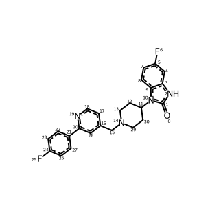 O=c1[nH]c2cc(F)ccc2n1C1CCN(Cc2ccnc(-c3ccc(F)cc3)c2)CC1